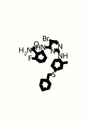 Cc1cc(SCc2ccccc2)ccc1Nc1ncc(Br)c(Nc2cccc(F)c2C(N)=O)n1